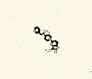 CN(Cc1cccnc1)C1CCN(C2=NN3C(=NNC3C(F)(F)F)C=C2)CC1